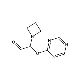 O=CC(Oc1ccncn1)N1CCC1